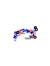 CN[C@@H](C)C(=O)N[C@H](C(=O)N1C[C@@H](NC(=O)c2cnc(N3CCN(CCOc4cc5ncnc(Nc6n[nH]c(C)c6C)c5cc4S(=O)(=O)C(C)(C)C)CC3)nc2)C[C@H]1C(=O)N[C@@H]1CCCc2ccccc21)C1CCCCC1